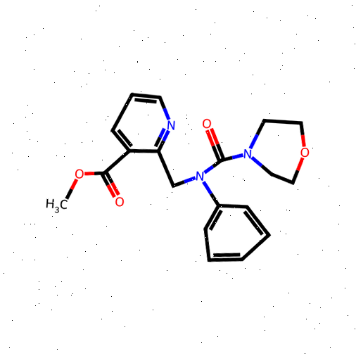 COC(=O)c1cccnc1CN(C(=O)N1CCOCC1)c1ccccc1